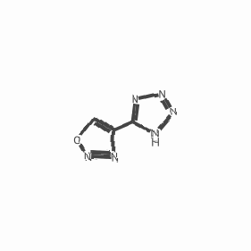 c1onnc1-c1nnn[nH]1